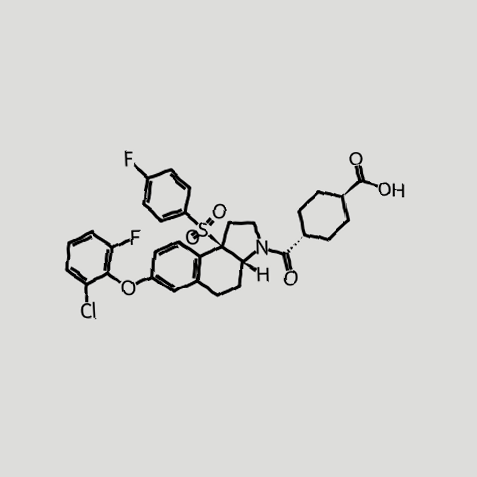 O=C(O)[C@H]1CC[C@H](C(=O)N2CC[C@@]3(S(=O)(=O)c4ccc(F)cc4)c4ccc(Oc5c(F)cccc5Cl)cc4CC[C@@H]23)CC1